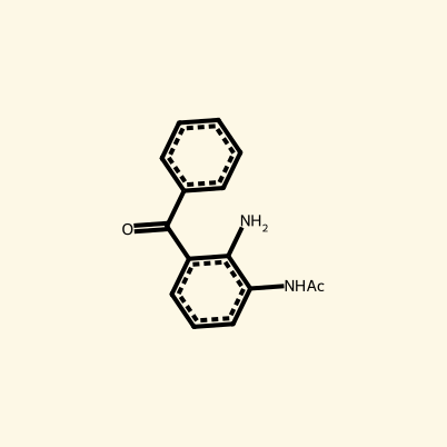 CC(=O)Nc1cccc(C(=O)c2ccccc2)c1N